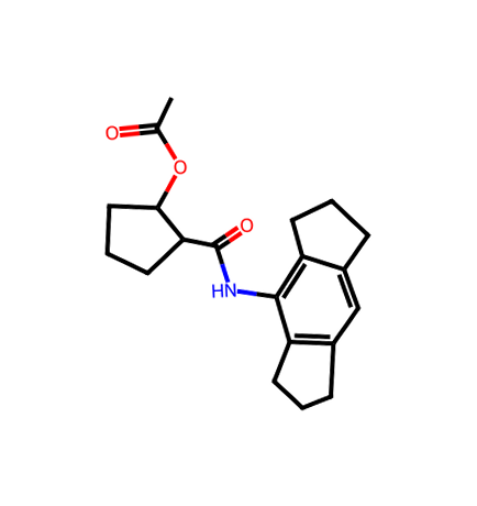 CC(=O)OC1CCCC1C(=O)Nc1c2c(cc3c1CCC3)CCC2